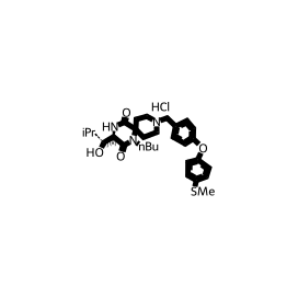 CCCCN1C(=O)[C@@H]([C@H](O)C(C)C)NC(=O)C12CCN(Cc1ccc(Oc3ccc(SC)cc3)cc1)CC2.Cl